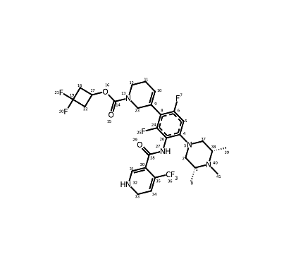 C[C@@H]1CN(c2cc(F)c(C3=CCCN(C(=O)OC4CC(F)(F)C4)C3)c(F)c2NC(=O)C2=CNCC=C2C(F)(F)F)C[C@H](C)N1C